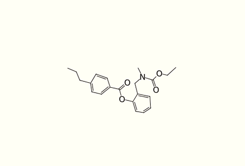 CCCc1ccc(C(=O)Oc2ccccc2CN(C)C(=O)OCC)cc1